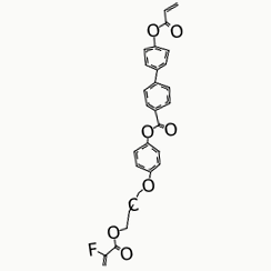 C=CC(=O)Oc1ccc(-c2ccc(C(=O)Oc3ccc(OCCCCOC(=O)C(=C)F)cc3)cc2)cc1